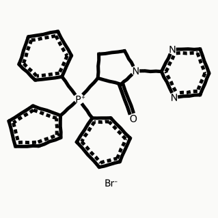 O=C1C([P+](c2ccccc2)(c2ccccc2)c2ccccc2)CCN1c1ncccn1.[Br-]